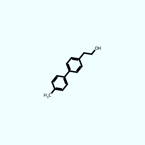 Cc1ccc(-c2ccc(CCO)cc2)cc1